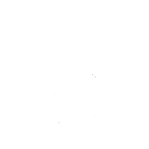 CCOc1ccc(C(=O)[O-])cc1.[Na+]